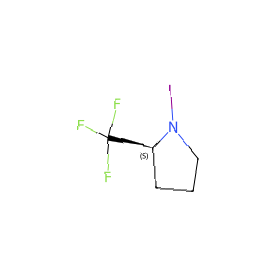 FC(F)(F)[C@@H]1CCCN1I